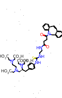 O=C(O)CN(CCN(CC(=O)O)C[C@H](Cc1ccc(NC(=S)NCCNC(=O)CCC(=O)N2Cc3ccccc3/C=C\c3ccccc32)cc1)N(CC(=O)O)CC(=O)O)CC(=O)O